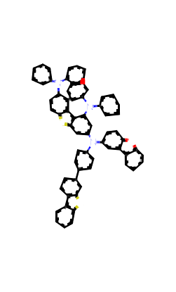 c1ccc(N(c2ccccc2)c2ccc3sc4cc(N(c5ccc(-c6ccc7c(c6)sc6ccccc67)cc5)c5ccc6oc7ccccc7c6c5)cc(N(c5ccccc5)c5ccccc5)c4c3c2)cc1